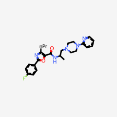 CCCc1nc(-c2ccc(F)cc2)oc1C(=O)NC(C)CN1CCN(c2ccccn2)CC1